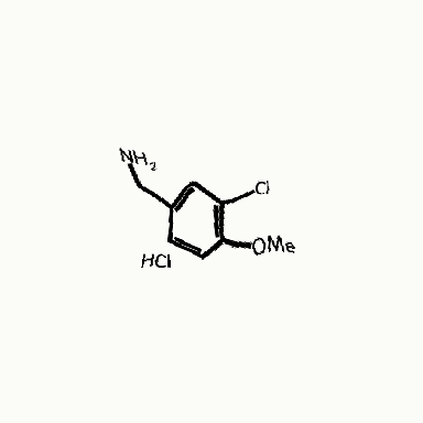 COc1ccc(CN)cc1Cl.Cl